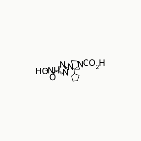 O=C(NO)c1cnc(N2CC3CC2(C2CCCC2)CN3C(=O)O)nc1